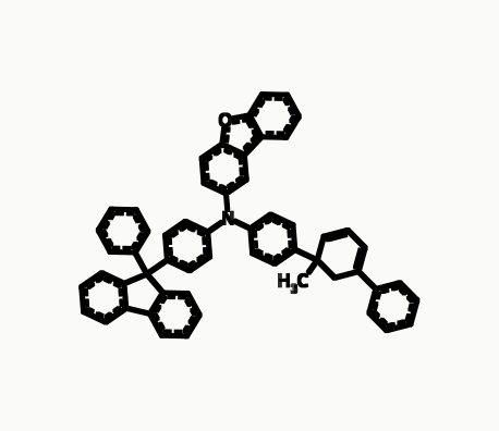 CC1(c2ccc(N(c3ccc(C4(c5ccccc5)c5ccccc5-c5ccccc54)cc3)c3ccc4oc5ccccc5c4c3)cc2)C=CC=C(c2ccccc2)C1